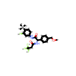 COCc1ccc([C@@H](NC(=O)CC(F)(F)F)C(=O)Nc2ccc([Si](C)(C)C)c(F)c2)cc1